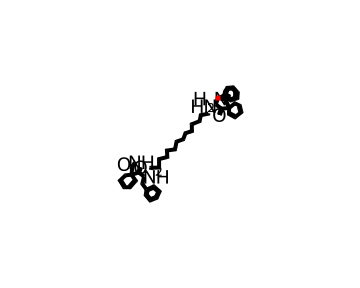 NC(=O)C1(C(=O)C(Cc2ccccc2)NCCCCCCCCCCCCCCNC(Cc2ccccc2)C(=O)C2(C(N)=O)C=CC=CC2)C=CC=CC1